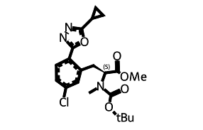 COC(=O)[C@H](Cc1cc(Cl)ccc1-c1nnc(C2CC2)o1)N(C)C(=O)OC(C)(C)C